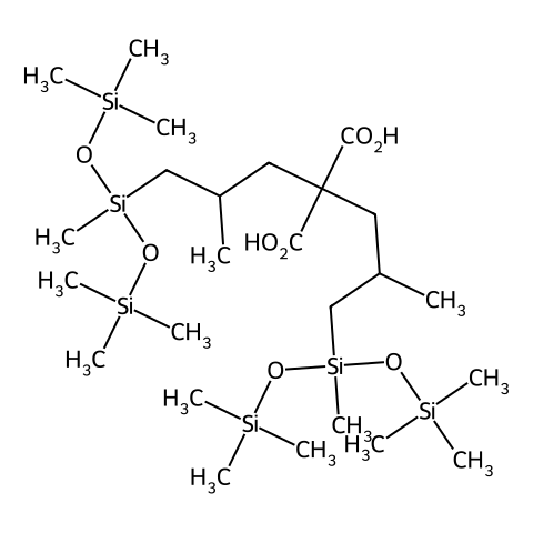 CC(CC(CC(C)C[Si](C)(O[Si](C)(C)C)O[Si](C)(C)C)(C(=O)O)C(=O)O)C[Si](C)(O[Si](C)(C)C)O[Si](C)(C)C